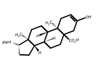 CCC[C@@H](C)[C@H]1CC[C@H]2[C@@H]3CCC4(C(=O)O)CC(O)=CC[C@]4(C)[C@H]3CC[C@]12C